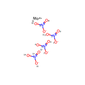 O=[N+]([O-])[O-].O=[N+]([O-])[O-].O=[N+]([O-])[O-].O=[N+]([O-])[O-].[Mo+4]